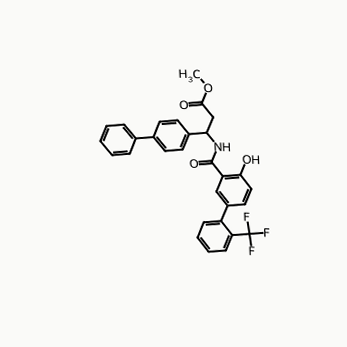 COC(=O)CC(NC(=O)c1cc(-c2ccccc2C(F)(F)F)ccc1O)c1ccc(-c2ccccc2)cc1